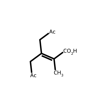 CC(=O)CC(CC(C)=O)=C(C)C(=O)O